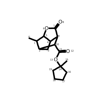 CC1C2CC3C1OC(=O)C3C2C(=O)OC1(C)CCCC1